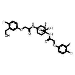 O=C(COc1ccc(Cl)c(CO)c1)NC12CCC(NC(=O)COc3ccc(Cl)c(F)c3)(CC1)[C@@H](O)C2